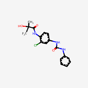 CC(O)(C(=O)Nc1ccc(NC(=O)Nc2ccccc2)cc1Cl)C(F)(F)F